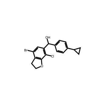 OC(c1ccc(C2CC2)cc1)c1cc(Br)c2c(c1Cl)OCC2